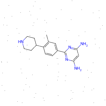 Cc1cc(-c2nc(N)cc(N)n2)ccc1C1CCNCC1